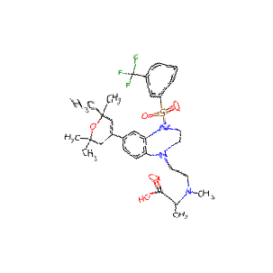 CC(C(=O)O)N(C)CCN1CCN(S(=O)(=O)c2cccc(C(F)(F)F)c2)c2cc(C3=CC(C)(C)OC(C)(C)C3)ccc21